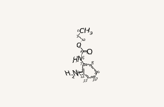 CCCOC(=O)Nc1ccccc1N